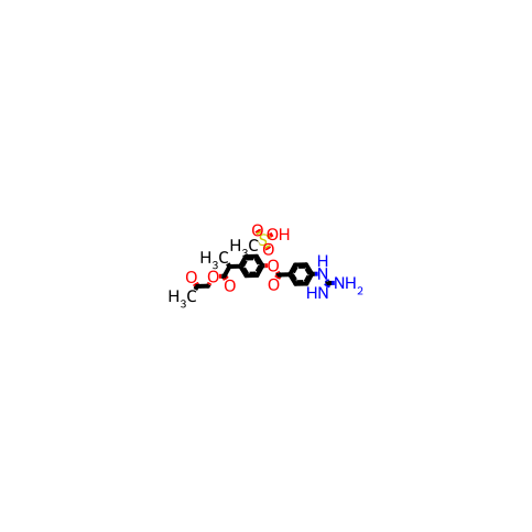 CC(=O)COC(=O)C(C)c1ccc(OC(=O)c2ccc(NC(=N)N)cc2)cc1.CS(=O)(=O)O